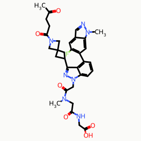 CC(=O)CCC(=O)N1CC2(CC(c3nn(CC(=O)N(C)CC(=O)NCC(=O)O)c4cccc(-c5cc6c(cnn6C)cc5F)c34)C2)C1